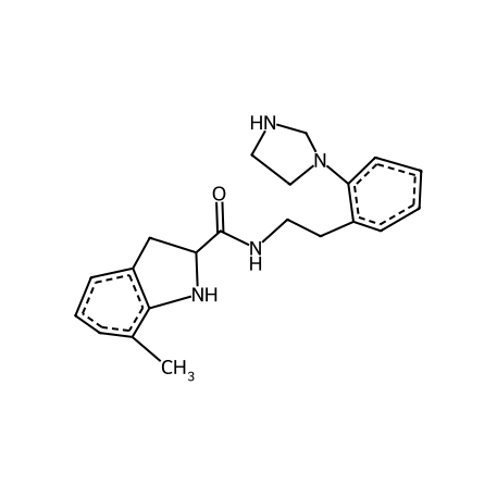 Cc1cccc2c1NC(C(=O)NCCc1ccccc1N1CCNC1)C2